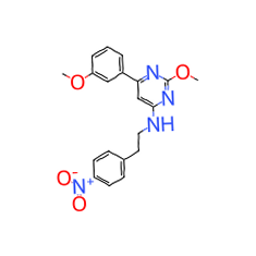 COc1cccc(-c2cc(NCCc3ccc([N+](=O)[O-])cc3)nc(OC)n2)c1